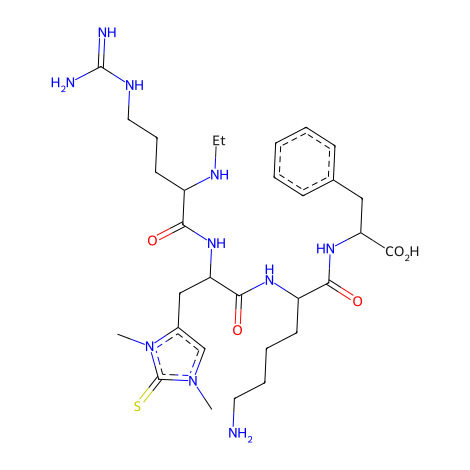 CCNC(CCCNC(=N)N)C(=O)NC(Cc1cn(C)c(=S)n1C)C(=O)NC(CCCCN)C(=O)NC(Cc1ccccc1)C(=O)O